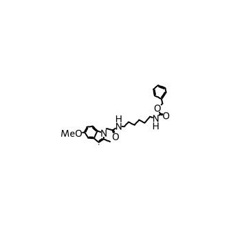 COc1ccc2c([c]c(C)n2CC(=O)NCCCCCCNC(=O)OCc2ccccc2)c1